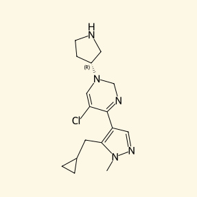 Cn1ncc(C2=NCN([C@@H]3CCNC3)C=C2Cl)c1CC1CC1